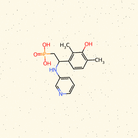 Cc1ccc(C(CP(=O)(O)O)Nc2cccnc2)c(C)c1O